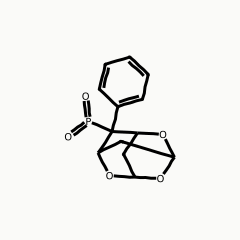 O=P(=O)C1(c2ccccc2)C2CC3OC(CC1O3)O2